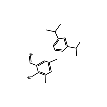 CC(C)c1cccc(C(C)C)c1.Cc1cc(C)c(O)c(C=N)c1